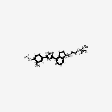 CC(C)Oc1ccc(-c2nnc(-c3cccc4c3CC[C@H]4NCCO[Si](C)(C)C(C)(C)C)s2)cc1C#N